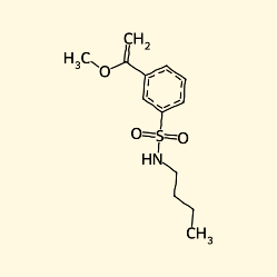 C=C(OC)c1cccc(S(=O)(=O)NCCCC)c1